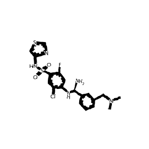 CN(C)Cc1cccc([C@H](N)Nc2cc(F)c(S(=O)(=O)Nc3cscn3)cc2Cl)c1